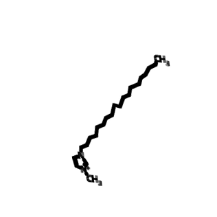 CCCCCCCCCCCCCCCCCCCn1cc[n+](C)c1